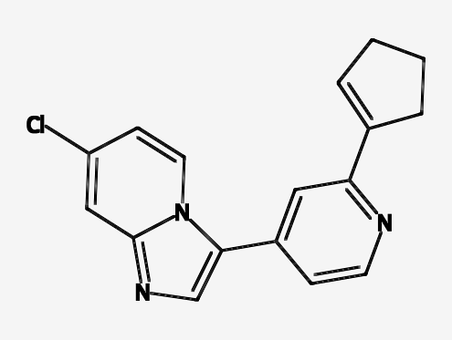 Clc1ccn2c(-c3ccnc(C4=CCCC4)c3)cnc2c1